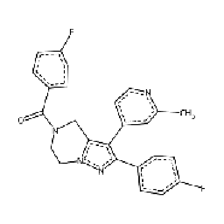 Cc1cc(-c2c(-c3ccc(F)cc3)nn3c2CN(C(=O)c2ccc(F)cc2)CC3)ccn1